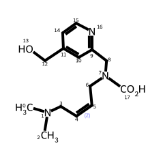 CN(C)C/C=C\CN(Cc1cc(CO)ccn1)C(=O)O